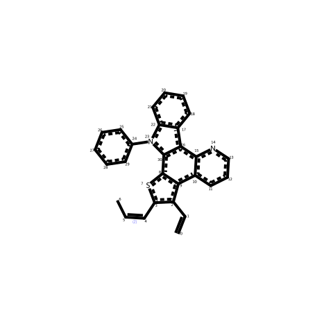 C=Cc1c(/C=C\C)sc2c1c1cccnc1c1c3ccccc3n(-c3ccccc3)c21